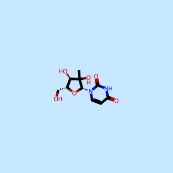 CC1(O)[C@H](O)[C@@H](CO)O[C@H]1n1ccc(=O)[nH]c1=O